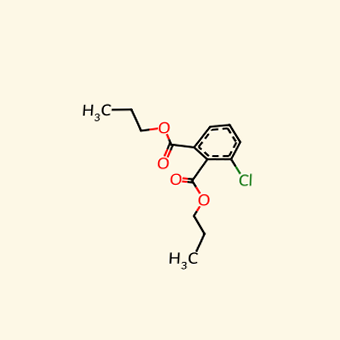 CCCOC(=O)c1cccc(Cl)c1C(=O)OCCC